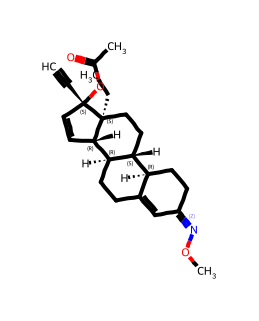 C#C[C@]1(OC(C)=O)C=C[C@H]2[C@@H]3CCC4=C/C(=N\OC)CC[C@@H]4[C@H]3CC[C@@]21CC